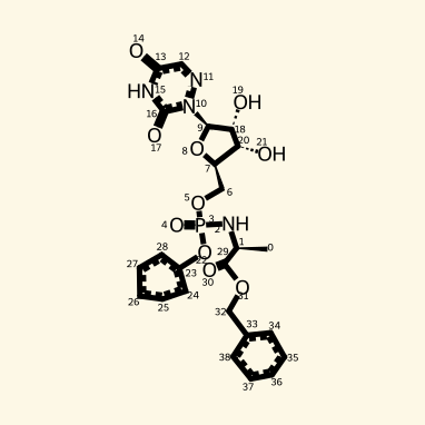 C[C@H](NP(=O)(OC[C@H]1O[C@@H](n2ncc(=O)[nH]c2=O)[C@H](O)[C@@H]1O)Oc1ccccc1)C(=O)OCc1ccccc1